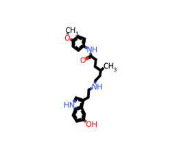 COc1ccc(NC(=O)CCC(C)CCNCCc2c[nH]c3ccc(O)cc23)cc1